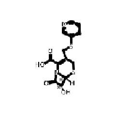 O=C(O)C1=C(CSc2cccnc2)CS[C@@H]2[C@H](O)C(=O)N12